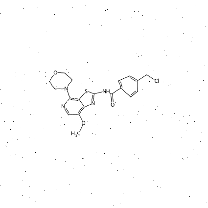 COc1cnc(N2CCOCC2)c2sc(NC(=O)c3ccc(CCl)cc3)nc12